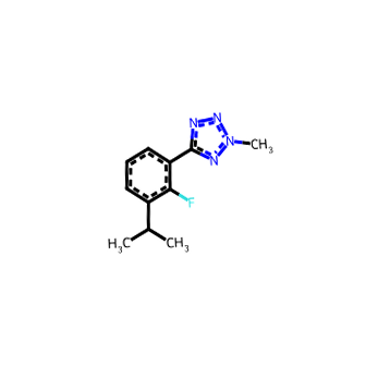 CC(C)c1cccc(-c2nnn(C)n2)c1F